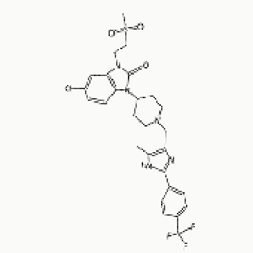 Cc1[nH]c(-c2ccc(C(F)(F)F)cc2)nc1CN1CCC(n2c(=O)n(CCS(C)(=O)=O)c3cc(Cl)ccc32)CC1